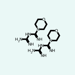 N=C(N)NC(=N)N1CCOCC1.N=C(N)NC(=N)N1CCOCC1